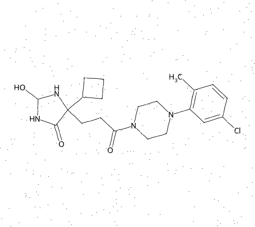 Cc1ccc(Cl)cc1N1CCN(C(=O)CCC2(C3CCC3)NC(O)NC2=O)CC1